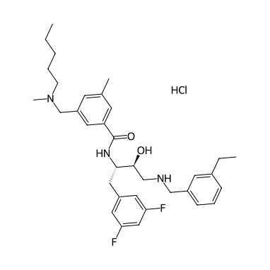 CCCCCN(C)Cc1cc(C)cc(C(=O)N[C@@H](Cc2cc(F)cc(F)c2)[C@@H](O)CNCc2cccc(CC)c2)c1.Cl